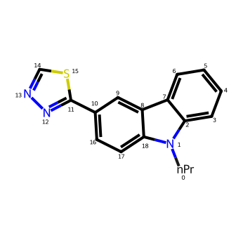 CCCn1c2ccccc2c2cc(-c3nncs3)ccc21